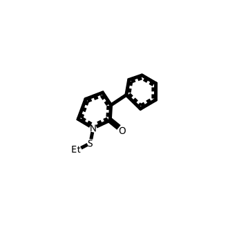 CCSn1cccc(-c2ccccc2)c1=O